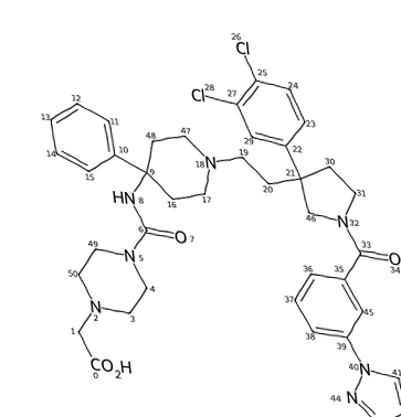 O=C(O)CN1CCN(C(=O)NC2(c3ccccc3)CCN(CCC3(c4ccc(Cl)c(Cl)c4)CCN(C(=O)c4cccc(-n5cnnn5)c4)C3)CC2)CC1